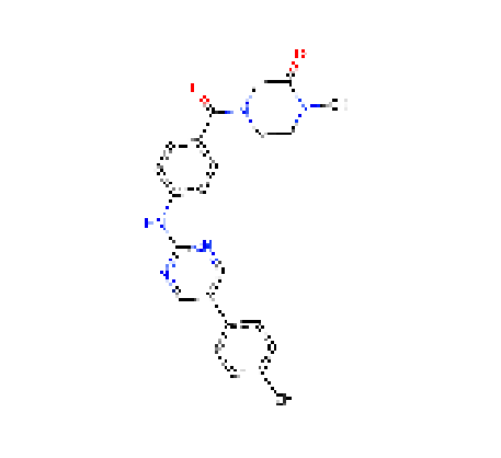 Cc1ccc(-c2cnc(Nc3ccc(C(=O)N4CCN(C)C(=O)C4)cc3)nc2)cc1